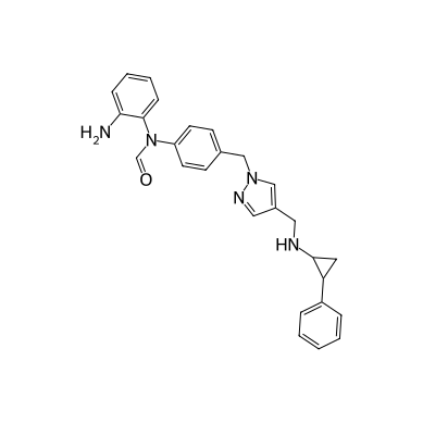 Nc1ccccc1N(C=O)c1ccc(Cn2cc(CNC3CC3c3ccccc3)cn2)cc1